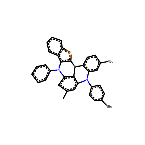 Cc1cc2c3c(c1)N(c1ccccc1)c1c(sc4ccccc14)B3c1ccc(C(C)(C)C)cc1N2c1ccc(C(C)(C)C)cc1